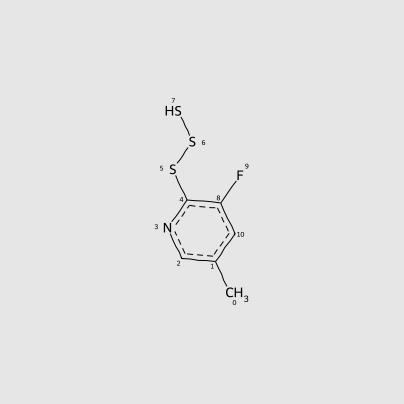 Cc1cnc(SSS)c(F)c1